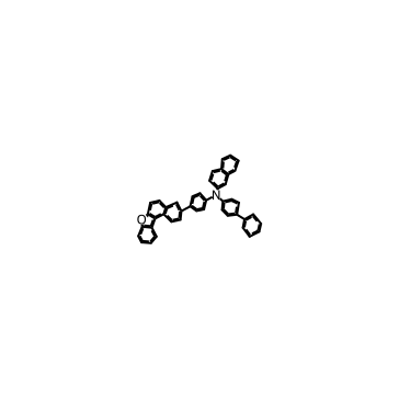 c1ccc(-c2ccc(N(c3ccc(-c4ccc5c(ccc6oc7ccccc7c65)c4)cc3)c3ccc4ccccc4c3)cc2)cc1